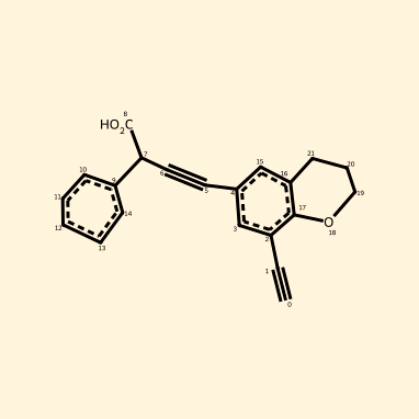 C#Cc1cc(C#CC(C(=O)O)c2ccccc2)cc2c1OCCC2